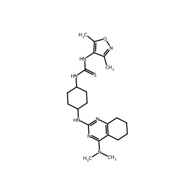 Cc1noc(C)c1NC(=S)NC1CCC(Nc2nc3c(c(N(C)C)n2)CCCC3)CC1